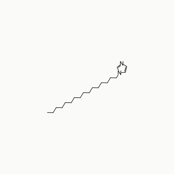 CCCCCCCCCCCCCCCCn1ccnc1